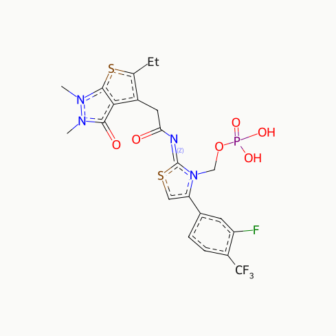 CCc1sc2c(c1CC(=O)/N=c1\scc(-c3ccc(C(F)(F)F)c(F)c3)n1COP(=O)(O)O)c(=O)n(C)n2C